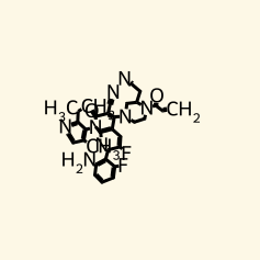 C=CC(=O)N1CCN(c2c(C#N)c(=O)n(-c3c(C)ccnc3C(C)C)c3nc(-c4c(N)cccc4F)c(F)cc23)CC1CC#N